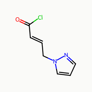 O=C(Cl)C=CCn1cccn1